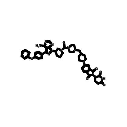 Nc1ncnc2c1c(-c1ccc(Oc3ccccc3)cc1)nn2C1CCCN(C(=O)N2CCN(CC3CCN(c4ccc5c(c4)C(=O)N(C4CCC(=O)NC4=O)C5=O)CC3)CC2)C1